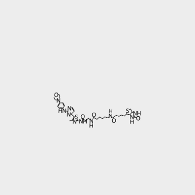 Cc1nc(NC(=O)CCNC(=O)CCCCCNC(=O)CCCCC2SCC3NC(=O)NC32)sc1-c1ccnc(Nc2ccc(N3CCOCC3)cc2)n1